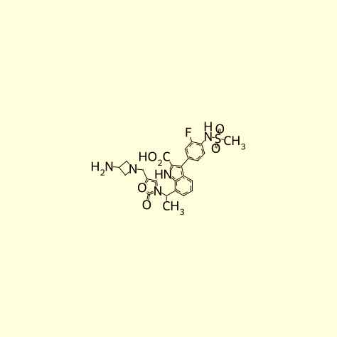 CC(c1cccc2c(-c3ccc(NS(C)(=O)=O)c(F)c3)c(C(=O)O)[nH]c12)n1cc(CN2CC(N)C2)oc1=O